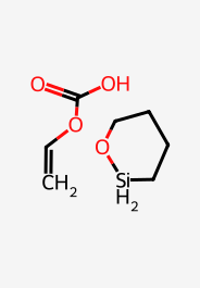 C1CC[SiH2]OC1.C=COC(=O)O